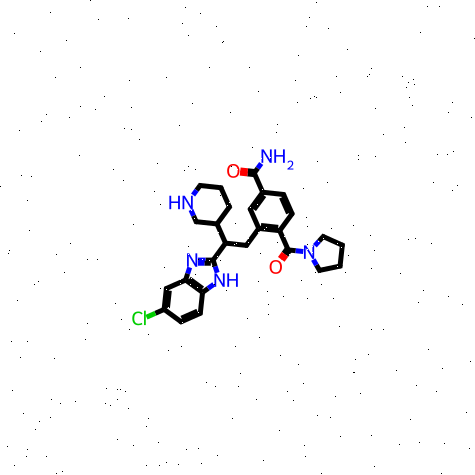 NC(=O)c1ccc(C(=O)N2CCCC2)c(CC(c2nc3cc(Cl)ccc3[nH]2)C2CCCNC2)c1